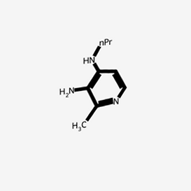 CCCNc1ccnc(C)c1N